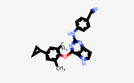 Cc1cc(C2CC2)cc(C)c1Oc1nc(Nc2ccc(C#N)cc2)nc2cc[nH]c12